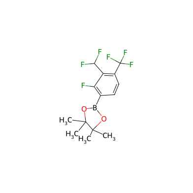 CC1(C)OB(c2ccc(C(F)(F)F)c(C(F)F)c2F)OC1(C)C